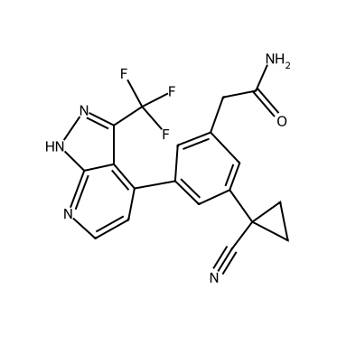 N#CC1(c2cc(CC(N)=O)cc(-c3ccnc4[nH]nc(C(F)(F)F)c34)c2)CC1